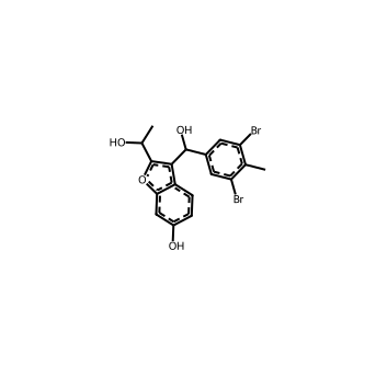 Cc1c(Br)cc(C(O)c2c(C(C)O)oc3cc(O)ccc23)cc1Br